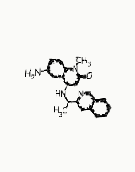 CC(Nc1cc(=O)n(C)c2ccc(N)cc12)c1cc2ccccc2cn1